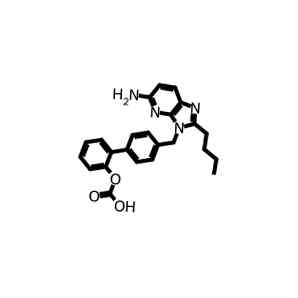 CCCCc1nc2ccc(N)nc2n1Cc1ccc(-c2ccccc2OC(=O)O)cc1